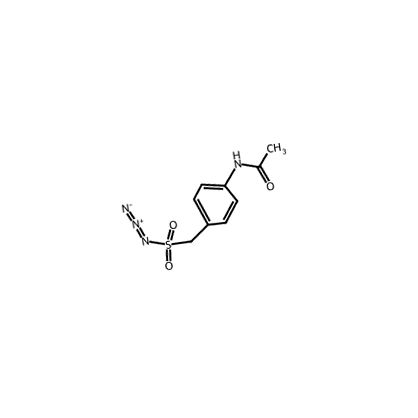 CC(=O)Nc1ccc(CS(=O)(=O)N=[N+]=[N-])cc1